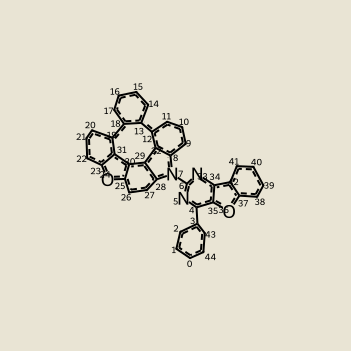 c1ccc(-c2nc(-n3c4cccc5c6ccccc6c6cccc7oc8ccc3c(c8c76)c54)nc3c2oc2ccccc23)cc1